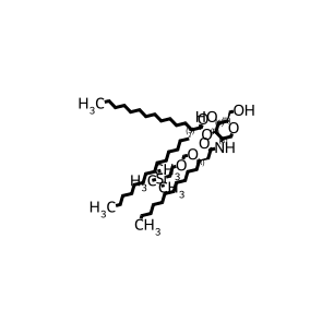 CCCCCCCCCCCCCC[C@H](CCCCCCCCCCCC)C(=O)O[C@H]1[C@H](O)[C@@H](CO)OC[C@H]1NC(=O)C[C@@H](CCCCCCCCCCC)OCOCC[Si](C)(C)C